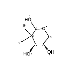 OC1OC[C@@H](O)[C@@H](O)C1(F)F